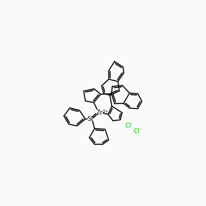 C1=CC(c2ccc3ccccc3c2)=[C]([Zr+2]([C]2=C(c3ccc4ccccc4c3)C=CC2)=[Si](c2ccccc2)c2ccccc2)C1.[Cl-].[Cl-]